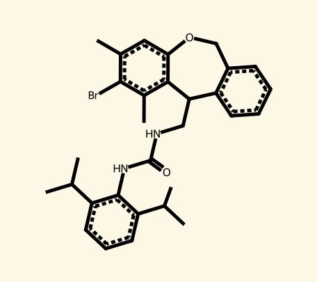 Cc1cc2c(c(C)c1Br)C(CNC(=O)Nc1c(C(C)C)cccc1C(C)C)c1ccccc1CO2